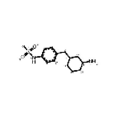 CS(=O)(=O)Nc1ccc(CC2CCCC(N)C2)cc1